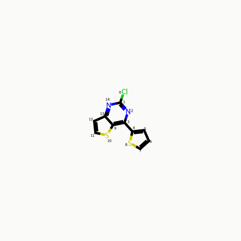 Clc1nc(-c2cccs2)c2sccc2n1